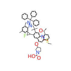 CCSc1cc(O[C@H]2CCN(C(=O)O)C2)c2cc(C3CC3)c(C(C)(C)CN3c4cc(F)c(C)cc4CN3C(c3ccccc3)(c3ccccc3)c3ccccc3)c(O[C@@H](C)c3ccccc3)c2n1